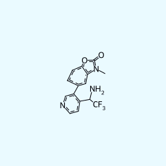 Cn1c(=O)oc2ccc(-c3cnccc3C(N)C(F)(F)F)cc21